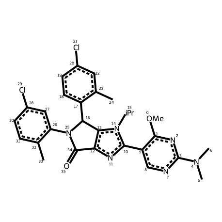 COc1nc(N(C)C)ncc1-c1nc2c(n1C(C)C)C(c1ccc(Cl)cc1C)N(c1cc(Cl)ccc1C)C2=O